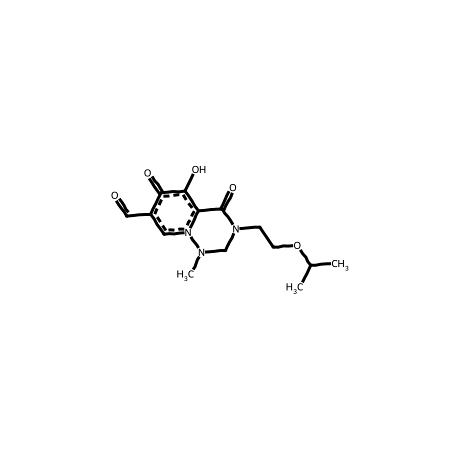 CC(C)OCCN1CN(C)n2cc(C=O)c(=O)c(O)c2C1=O